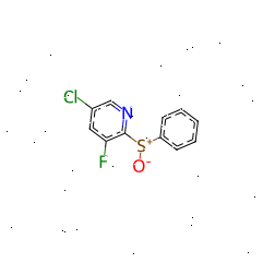 [O-][S+](c1ccccc1)c1ncc(Cl)cc1F